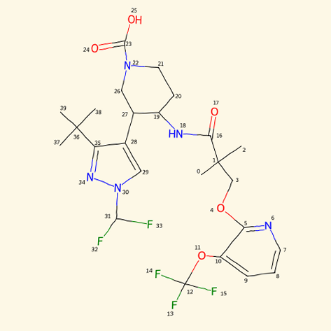 CC(C)(COc1ncccc1OC(F)(F)F)C(=O)NC1CCN(C(=O)O)CC1c1cn(C(F)F)nc1C(C)(C)C